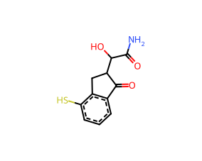 NC(=O)C(O)C1Cc2c(S)cccc2C1=O